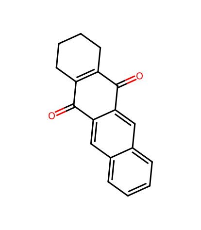 O=C1C2=C(CCCC2)C(=O)c2cc3ccccc3cc21